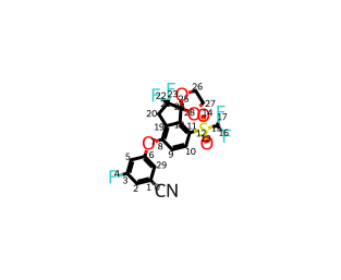 N#Cc1cc(F)cc(Oc2ccc(S(=O)(=O)C(F)F)c3c2CC(F)(F)C32OCCO2)c1